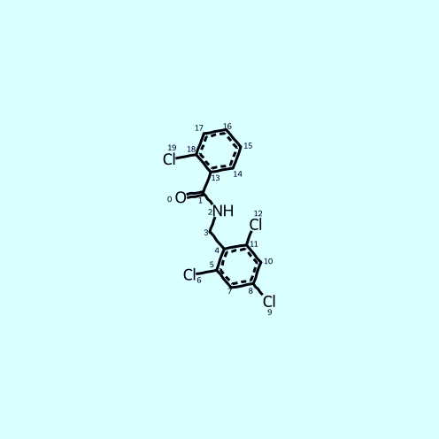 O=C(NCc1c(Cl)cc(Cl)cc1Cl)c1ccccc1Cl